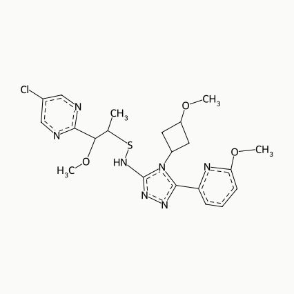 COc1cccc(-c2nnc(NSC(C)C(OC)c3ncc(Cl)cn3)n2C2CC(OC)C2)n1